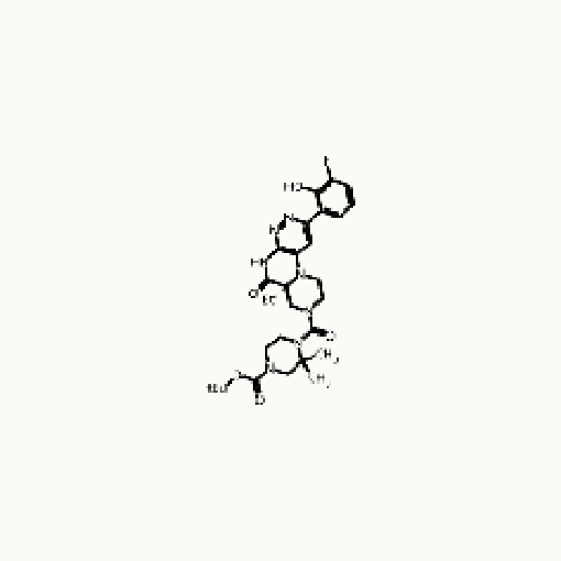 CC[C@@]12CN(C(=O)N3CCN(C(=O)OC(C)(C)C)CC3(C)C)CCN1c1cc(-c3cccc(F)c3O)nnc1NC2=O